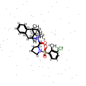 Cc1c(Cl)cccc1S(=O)(=O)N1CCCC1C(=O)N1CC[C@@]2(C)c3ccccc3C[C@@H]1C2(C)C